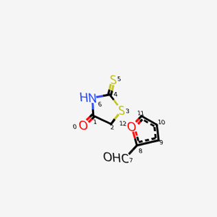 O=C1CSC(=S)N1.O=Cc1ccco1